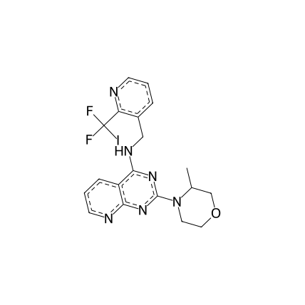 CC1COCCN1c1nc(NCc2cccnc2C(F)(F)I)c2cccnc2n1